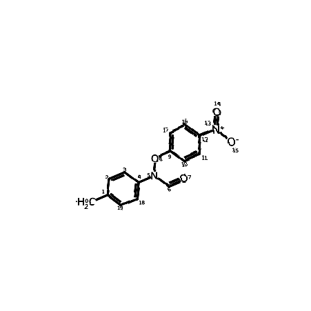 [CH2]c1ccc(N(C=O)Oc2ccc([N+](=O)[O-])cc2)cc1